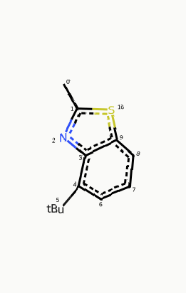 Cc1nc2c(C(C)(C)C)cccc2s1